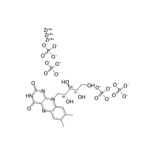 Cc1cc2nc3c(=O)[nH]c(=O)nc-3n(C[C@@H](O)[C@@H](O)[C@@H](O)CO)c2cc1C.O=P([O-])([O-])[O-].O=P([O-])([O-])[O-].O=P([O-])([O-])[O-].O=P([O-])([O-])[O-].[Zr+4].[Zr+4].[Zr+4]